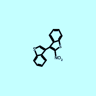 O=[N+]([O-])c1sc2ccccc2c1-c1csc2ccccc12